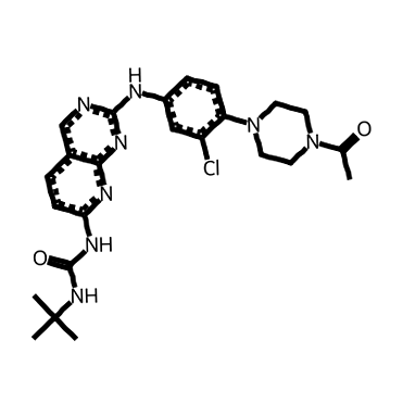 CC(=O)N1CCN(c2ccc(Nc3ncc4ccc(NC(=O)NC(C)(C)C)nc4n3)cc2Cl)CC1